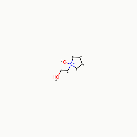 [O-][N+]1(CCO)CCCC1